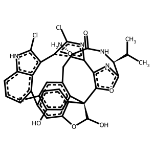 CC(C)[C@@H]1NC(=O)[C@@H](N)Cc2cc(Br)c(O)cc2[C@]23c4ccc(cc4OC2O)-c2cccc4[nH]c(Cl)c(c24)-c2oc(nc2Cl)-c2nc1oc23